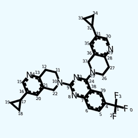 FC(F)(F)c1ccc2nc(N3CCc4ncc(C5CC5)cc4C3)nc(N3CCc4ncc(C5CC5)cc4C3)c2c1